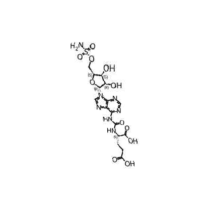 NS(=O)(=O)OC[C@@H]1O[C@@H](n2cnc3c(NC(=O)N[C@@H](CCC(=O)O)C(=O)O)ncnc32)[C@H](O)[C@@H]1O